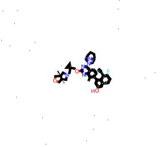 C#Cc1c(F)ccc2cc(O)cc(-c3c(F)cc4c(N5CC6CCC(C5)N6)nc(OCC5(CN6C[C@@]7(C)COC[C@]7(C)C6)CC5)nc4c3C)c12